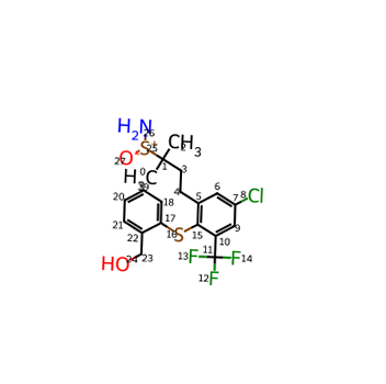 CC(C)(CCc1cc(Cl)cc(C(F)(F)F)c1Sc1ccccc1CO)[S+](N)[O-]